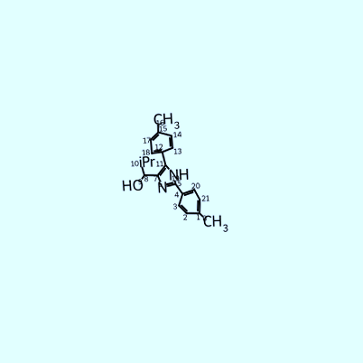 Cc1ccc(-c2nc(C(O)C(C)C)c(-c3ccc(C)cc3)[nH]2)cc1